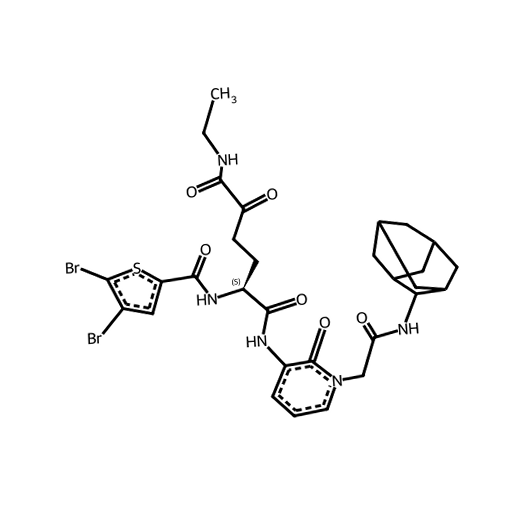 CCNC(=O)C(=O)CC[C@H](NC(=O)c1cc(Br)c(Br)s1)C(=O)Nc1cccn(CC(=O)NC2C3CC4CC(C3)CC2C4)c1=O